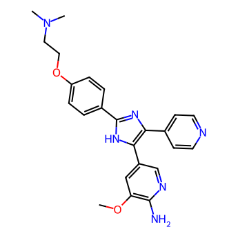 COc1cc(-c2[nH]c(-c3ccc(OCCN(C)C)cc3)nc2-c2ccncc2)cnc1N